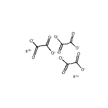 O=C([O-])C(=O)[O-].O=C([O-])C(=O)[O-].O=C([O-])C(=O)[O-].[Ir+3].[Ir+3]